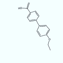 C=C(O)c1ccc(-c2ccc(OCC)cc2)cc1